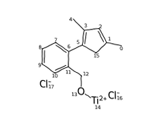 CC1=CC(C)=C(c2ccccc2C[O][Ti+2])C1.[Cl-].[Cl-]